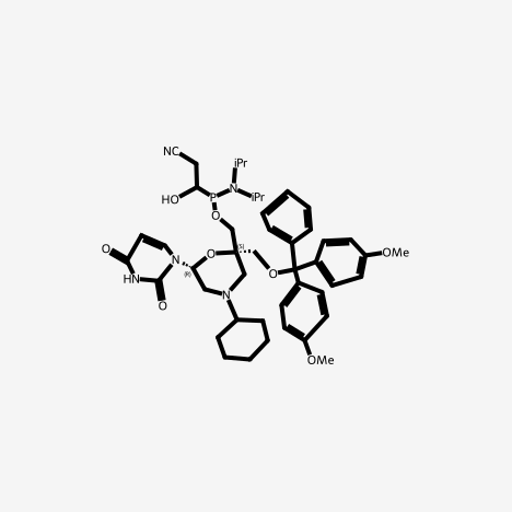 COc1ccc(C(OC[C@]2(COP(C(O)CC#N)N(C(C)C)C(C)C)CN(C3CCCCC3)C[C@H](n3ccc(=O)[nH]c3=O)O2)(c2ccccc2)c2ccc(OC)cc2)cc1